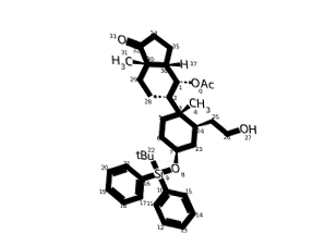 CC(=O)O[C@@H]1[C@H]([C@@]2(C)CC[C@H](O[Si](c3ccccc3)(c3ccccc3)C(C)(C)C)C[C@@H]2CCO)CC[C@]2(C)C(=O)CC[C@H]12